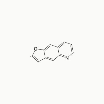 [c]1cc2cc3ncccc3cc2o1